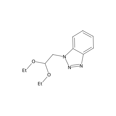 CCOC(Cn1nnc2ccccc21)OCC